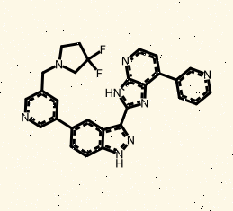 FC1(F)CCN(Cc2cncc(-c3ccc4[nH]nc(-c5nc6c(-c7cccnc7)ccnc6[nH]5)c4c3)c2)C1